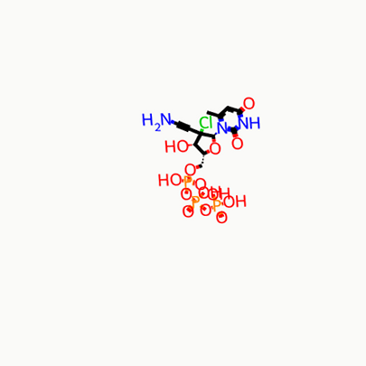 Cc1cc(=O)[nH]c(=O)n1[C@@H]1O[C@H](COP(=O)(O)OP(=O)(O)OP(=O)(O)O)[C@H](O)C1(Cl)C#CN